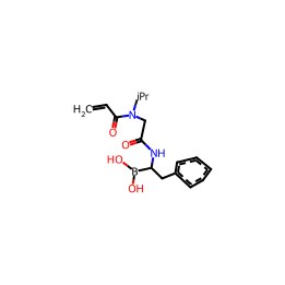 C=CC(=O)N(CC(=O)NC(Cc1ccccc1)B(O)O)C(C)C